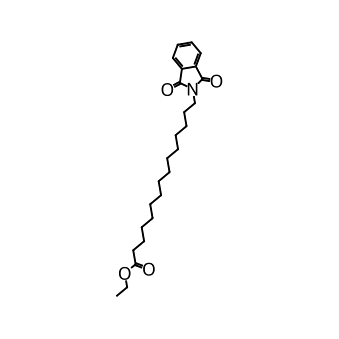 CCOC(=O)CCCCCCCCCCCCCCN1C(=O)c2ccccc2C1=O